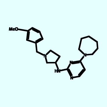 COc1cccc(CN2CCC(Nc3nccc(N4CCCCCC4)n3)C2)c1